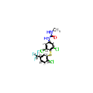 CNC(=O)Nc1cc(Cl)c(Sc2cc(C(F)(F)F)ccc2Cl)c(Cl)c1